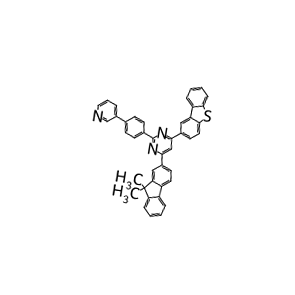 CC1(C)c2ccccc2-c2ccc(-c3cc(-c4ccc5sc6ccccc6c5c4)nc(-c4ccc(-c5cccnc5)cc4)n3)cc21